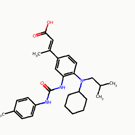 C/C(=C\C(=O)O)c1ccc(N(CC(C)C)C2CCCCC2)c(NC(=O)Nc2ccc(C)cc2)c1